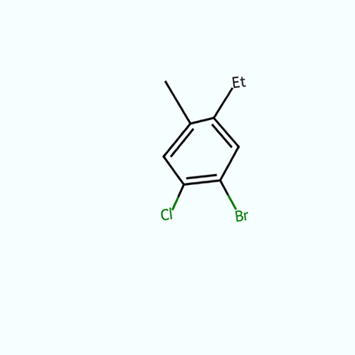 CCc1cc(Br)c(Cl)cc1C